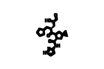 O=CN(O)C[C@@H](CC1CCCC1)C(=O)C1CC2(CC2)C[C@H]1C(=O)Nc1cc[nH]n1